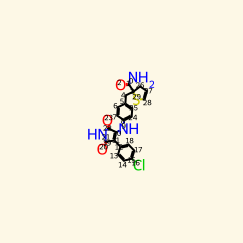 NC(=O)C1(Cc2ccc(NC3=C(c4ccc(Cl)cc4)C(=O)NC3=O)cc2)CC=CS1